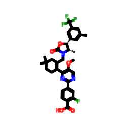 COc1cnc(-c2ccc(C(=O)O)c(F)c2)nc1C1=C(CN2C(=O)O[C@H](c3cc(C)cc(C(F)(F)F)c3)[C@@H]2C)CC(C)(C)CC1